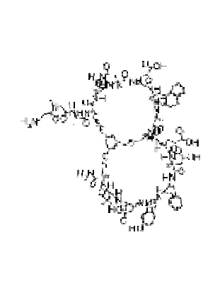 C[C@H](NC(=O)CN(C)C(=O)CCN)C(=O)N[C@H]1CSCc2cc3cc(c2)CSC[C@H](NC(=O)[C@@H](C)NC(=O)[C@H](Cc2cccc4ccccc24)NC(=O)[C@H](CCC(=O)O)NC(=O)[C@H](CC(N)=O)NC(=O)[C@@H](C)NC1=O)C(=O)N[C@@H](CCC(=O)O)C(=O)N[C@@H](CC(=O)O)C(=O)N[C@@H](Cc1ccccc1)C(=O)N[C@@H](Cc1ccc(O)cc1)C(=O)N[C@@H](CC(=O)O)C(=O)N[C@@H](C(C)(C)C)C(=O)N[C@H](C(N)=O)CSC3